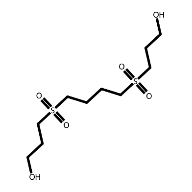 O=S(=O)(CCCO)CCCCS(=O)(=O)CCCO